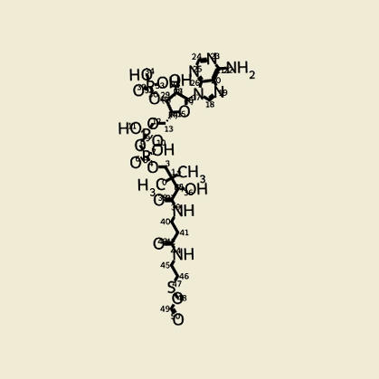 CC(C)(COP(=O)(O)OP(=O)(O)OC[C@H]1O[C@@H](n2cnc3c(N)ncnc32)[C@H](O)[C@@H]1OP(=O)(O)O)[C@@H](O)C(=O)NCCC(=O)NCCSOC=O